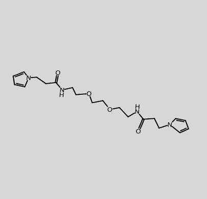 O=C(CCn1cccc1)NCCOCCOCCNC(=O)CCn1cccc1